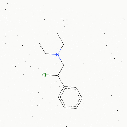 CCN(CC)CC(Cl)c1ccccc1